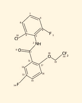 O=C(Nc1c(F)cccc1Cl)c1cc(F)ccc1OCC(F)(F)F